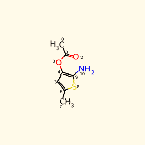 CC(=O)Oc1cc(C)sc1N